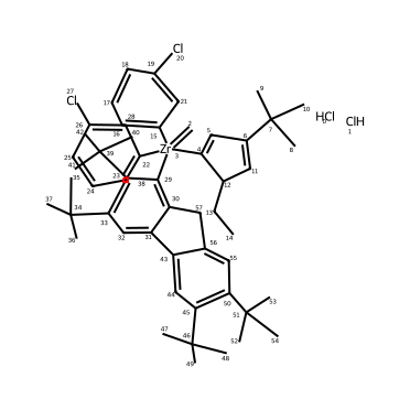 Cl.Cl.[CH2]=[Zr]([C]1=CC(C(C)(C)C)=CC1CC)([c]1cccc(Cl)c1)([c]1cccc(Cl)c1)[c]1c2c(cc(C(C)(C)C)c1C(C)(C)C)-c1cc(C(C)(C)C)c(C(C)(C)C)cc1C2